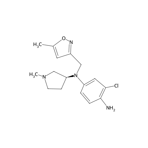 Cc1cc(CN(c2ccc(N)c(Cl)c2)[C@H]2CCN(C)C2)no1